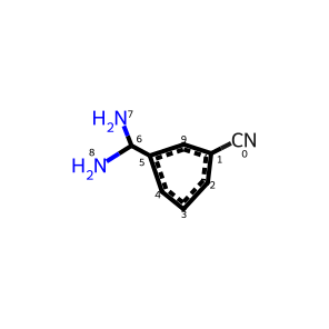 N#Cc1cccc(C(N)N)c1